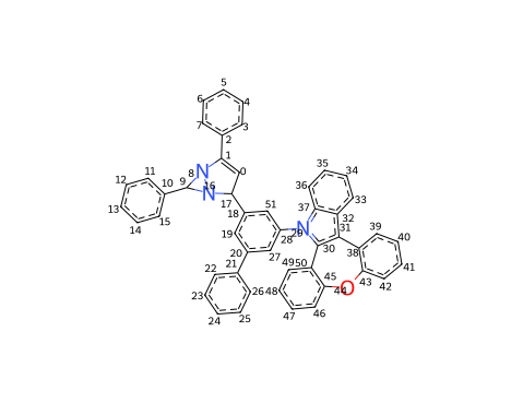 C1=C(c2ccccc2)N2C(c3ccccc3)N2C1c1cc(-c2ccccc2)cc(-n2c3c(c4ccccc42)-c2ccccc2Oc2ccccc2-3)c1